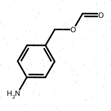 Nc1ccc(COC=O)cc1